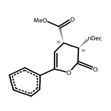 CCCCCCCCCC[C@@H]1C(=O)OC(c2ccccc2)=C[C@@H]1C(=O)OC